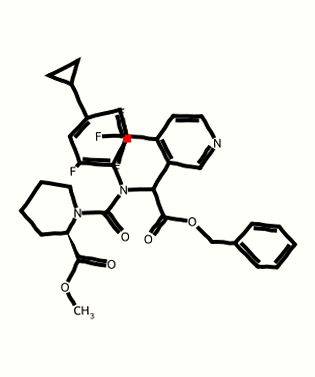 COC(=O)[C@H]1CCCCN1C(=O)N(c1ccc(C2CC2)cc1F)C(C(=O)OCc1ccccc1)c1cnccc1C(F)(F)F